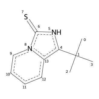 CC(C)(C)c1[nH]c(=S)n2ccccc12